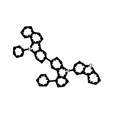 c1ccc(-c2cccc3c2c2cc(-c4ccc5c(c4)c4ccc6ccccc6c4n5-c4ccccc4)ccc2n3-c2ccc3oc4ccccc4c3c2)cc1